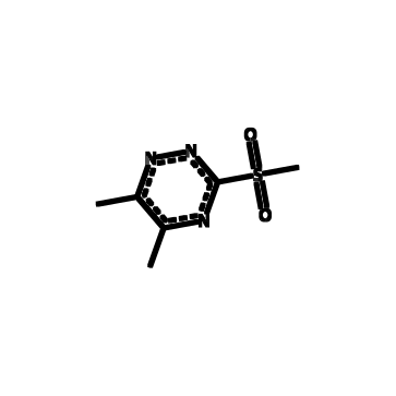 Cc1nnc(S(C)(=O)=O)nc1C